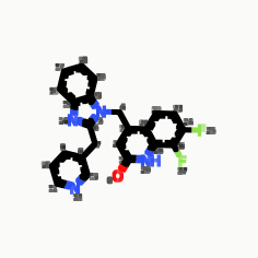 O=c1cc(Cn2c(Cc3cccnc3)nc3ccccc32)c2ccc(F)c(F)c2[nH]1